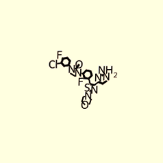 Nc1nccc(-c2nc(N3CCOCC3)sc2-c2cccc(N3CCN(c4ccc(F)c(Cl)c4)C3=O)c2F)n1